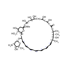 COC12C[C@@H](O)C[C@@H](O)C(O)CCC(O)CC(O)CC(=O)O[C@@H](C)[C@H](C)[C@H](O)[C@@H](C)/C=C/C=C/C=C/C=C/C=C/C=C/C=C/C(O[C@H]3C[C@@H](N)[C@H](O)[C@@H](C)O3)C[C@H](O1)[C@H](C(=O)O)[C@@H](O)C2